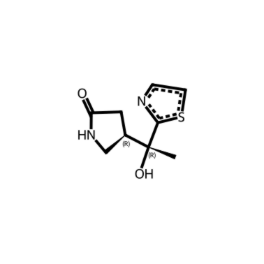 C[C@](O)(c1nccs1)[C@H]1CNC(=O)C1